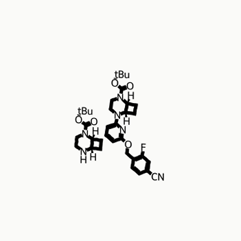 CC(C)(C)OC(=O)N1CCN(c2cccc(OCc3ccc(C#N)cc3F)n2)[C@H]2CC[C@H]21.CC(C)(C)OC(=O)N1CCN[C@H]2CC[C@H]21